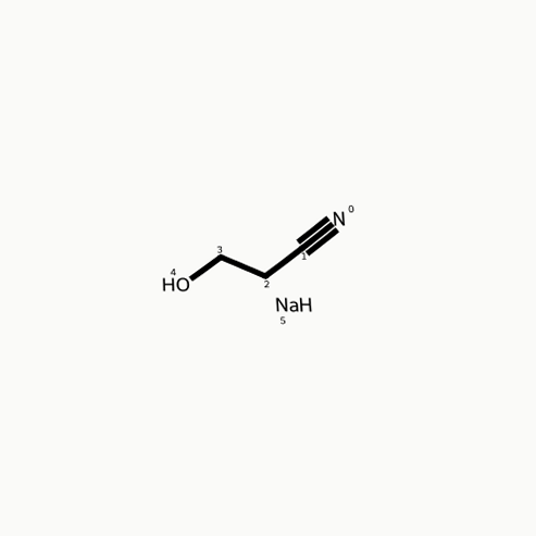 N#CCCO.[NaH]